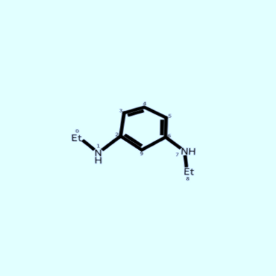 CCNc1cccc(NCC)c1